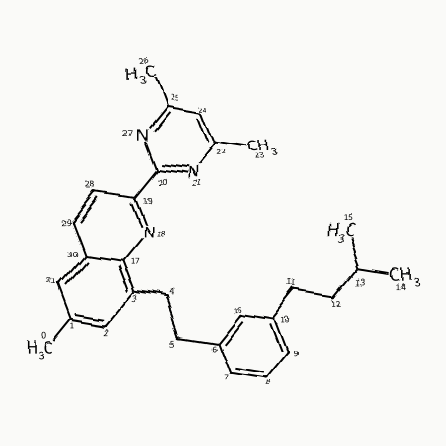 Cc1cc(CCc2cccc(CCC(C)C)c2)c2nc(-c3nc(C)cc(C)n3)ccc2c1